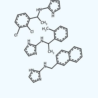 CC(Nc1ncc[nH]1)c1cccc(Cl)c1Cl.Cc1ccccc1C(C)Nc1ncc[nH]1.c1ccc2cc(CNc3ncc[nH]3)ccc2c1